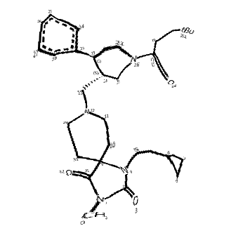 CN1C(=O)N(CC2CC2)C2(CCN(C[C@H]3CN(C(=O)CC(C)(C)C)C[C@@H]3c3ccccc3)CC2)C1=O